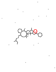 CCC(C)CCCC1CCC(C)(C)C(C)(C)C(CC2C(C)C3OC(C4CCCCC4)CC3C2(C)C)C(C)C2CCCCC12